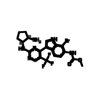 COC(=O)Nc1ccc2c(-c3nc(N[C@H]4CCC[C@H]4N)ncc3C(F)(F)F)c[nH]c2c1Br